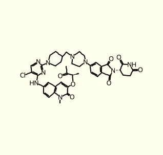 CC(=O)[C@@H](C)Oc1cc2cc(Nc3nc(N4CCC(CN5CCN(c6ccc7c(c6)C(=O)N([C@H]6CCC(=O)NC6=O)C7=O)CC5)CC4)ncc3Cl)ccc2n(C)c1=O